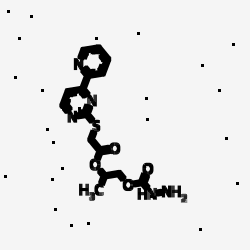 CC(COC(=O)NN)OC(=O)CSc1nccc(-c2ccccn2)n1